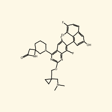 CCc1c(F)ccc2cc(O)cc(-c3c(F)cc4c(N5CCCC6(CC(=O)N6)C5)nc(OCC5(CN(C)C)CC5)nc4c3F)c12